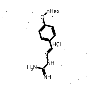 CCCCCCOc1ccc(C=NNC(=N)N)cc1.Cl